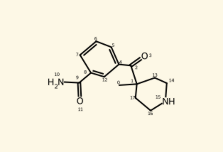 CC1(C(=O)c2cccc(C(N)=O)c2)CCNCC1